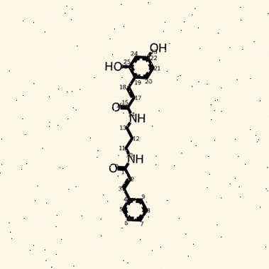 O=C(C=Cc1ccccc1)NCCCNC(=O)/C=C/c1ccc(O)cc1O